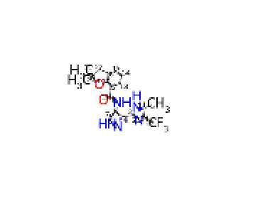 Cc1[nH]c(-c2n[nH]cc2NC(=O)c2cccc3c2OC(C)(C)C3)nc1C(F)(F)F